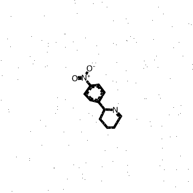 O=[N+]([O-])c1ccc(C2CCCC=N2)cc1